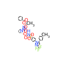 Cc1ccc(-c2cc(C(F)(F)F)nn2-c2ccc(S(=O)(=O)NC(=O)OC[C@@H]3CCCN3[N+]([O-])=NOC(C)OC(=O)c3ccccc3)cc2)cc1